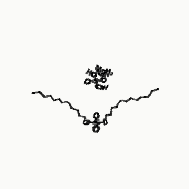 CCCCCCCCCCCCOS(=O)(=O)OCCCCCCCCCCCC.O=S(=O)(O)O.[MgH2].[NaH]